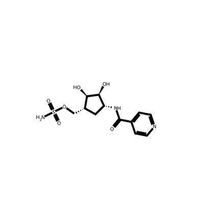 NS(=O)(=O)OC[C@H]1C[C@@H](NC(=O)c2ccncc2)[C@H](O)[C@@H]1O